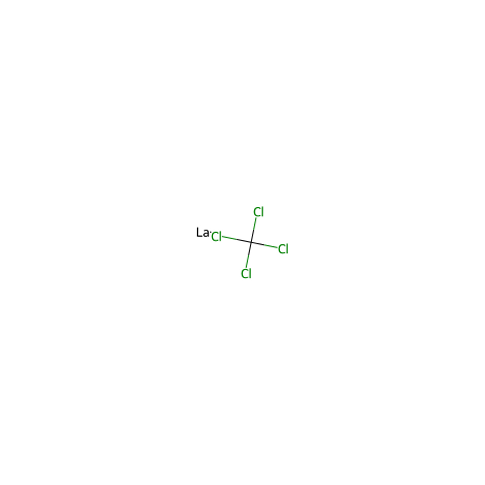 ClC(Cl)(Cl)Cl.[La]